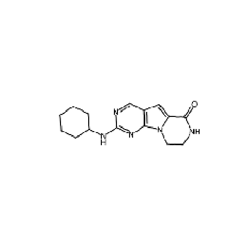 O=C1NCCn2c1cc1cnc(NC3CCCCC3)nc12